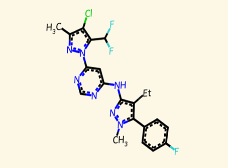 CCc1c(Nc2cc(-n3nc(C)c(Cl)c3C(F)F)ncn2)nn(C)c1-c1ccc(F)cc1